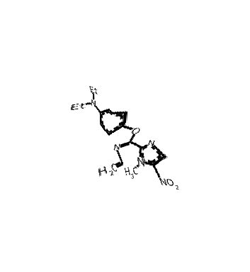 C=CN=C(Oc1ccc(N(CC)CC)cc1)c1ncc([N+](=O)[O-])n1C